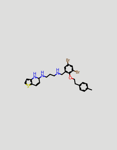 Cc1ccc(CCOc2c(Br)cc(Br)cc2CNCCCNC2C=Cc3sccc3N2)cc1